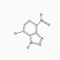 O=[N+]([O-])c1ccc(Cl)c2c1no[n+]2[O-]